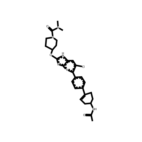 CC(=O)NC1CC=C(c2ccc(-c3nc4nc(OC5CCN(C(=O)N(C)C)CC5)[nH]c4cc3Cl)cc2)CC1